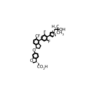 CC(C)(O)Cn1cc(-c2c(F)cc(-c3c(C(F)(F)F)ccc4c3CC[C@H]4Oc3ccc4c(c3)OC[C@H]4CC(=O)O)cc2F)cn1